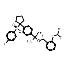 O=S(=O)(c1ccc(F)cc1)C1(c2ccc(C(OCc3ccccc3OC(F)F)(C(F)(F)F)C(F)(F)F)cc2)CCCC1